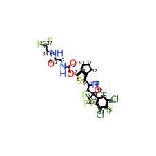 O=C(CNC(=O)Oc1sc(C2=NO[C@@](c3cc(Cl)c(F)c(Cl)c3)(C(F)(F)F)C2)c2c1CCC2)NCC(F)F